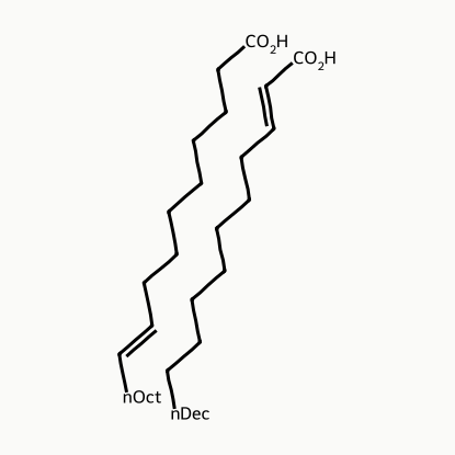 CCCCCCCCC=CCCCCCCCC(=O)O.CCCCCCCCCCCCCCCCCC=CC(=O)O